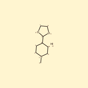 CN1CCC(C2OCCO2)CC1.I